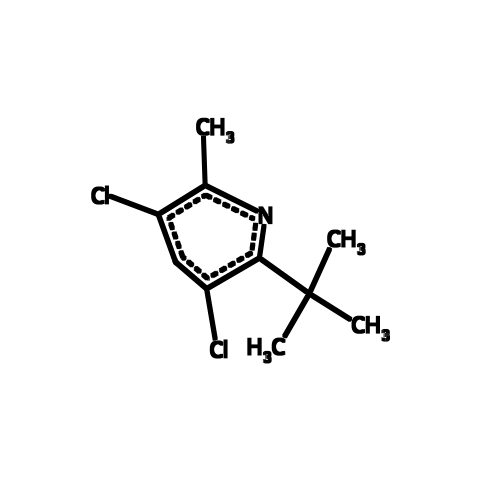 Cc1nc(C(C)(C)C)c(Cl)cc1Cl